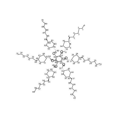 CCCCCCC[C@H]1CC[C@H](COc2c(OC[C@H]3CC[C@H](CCCCCCC)CC3)c(OC[C@H]3CC[C@H](CCCCCCC)CC3)c(OC[C@H]3CC[C@H](CCCCCCC)CC3)c(OC[C@H]3CC[C@H](CCCCCCC)CC3)c2OC[C@H]2CC[C@H](CCCCCCC)CC2)CC1